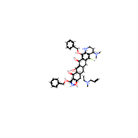 C=CCN(C)CC[C@]12Cc3onc(OCc4ccccc4)c3C(=O)[C@]13OC3=C1C(=O)c3c(c(F)c4c(c3OCc3ccccc3)NCCC4N(C)C)CC1C2